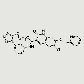 Cc1nnnn1-c1cccc(N[C@@H](C)c2cc3cc(Cl)c(OCc4ccccn4)cc3[nH]c2=O)c1